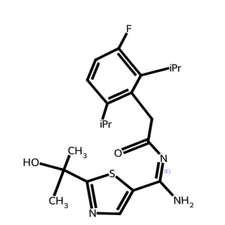 CC(C)c1ccc(F)c(C(C)C)c1CC(=O)/N=C(/N)c1cnc(C(C)(C)O)s1